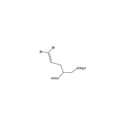 CCCCCCCCC(CC=C(Br)Br)CCCCCC